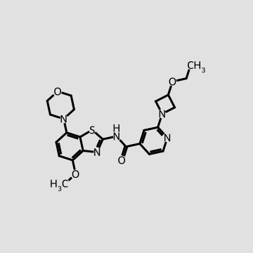 CCOC1CN(c2cc(C(=O)Nc3nc4c(OC)ccc(N5CCOCC5)c4s3)ccn2)C1